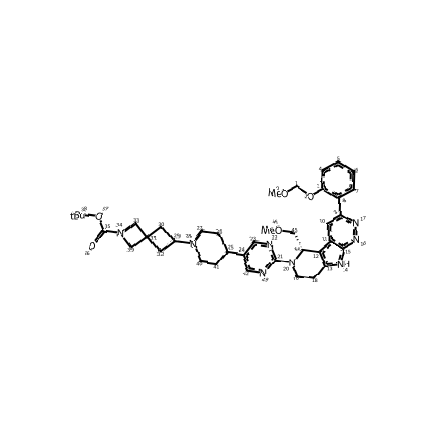 COCOc1ccccc1-c1cc2c3c([nH]c2nn1)CCN(c1ncc(C2CCN(C4CC5(C4)CN(C(=O)OC(C)(C)C)C5)CC2)cn1)[C@@H]3COC